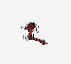 CCN/C(=C\C(C)=N)C(=O)Nc1nc2cc(C(N)=O)cc(OC)c2n1C/C=C/Cn1c(NC(=O)/C(=C/C(C)=N)NCC)nc2cc(C(N)=O)cc(OCCCN3CCN(C(=O)OCc4ccc(NC(=O)[C@H](C)NC(=O)[C@@H](NC(=O)OCCOCCOCCOCCOCCOCCOCCC(=O)Oc5c(F)c(F)c(S(=O)(=O)O)c(F)c5F)C(C)C)cc4)CC3)c21